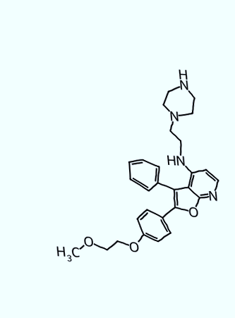 COCCOc1ccc(-c2oc3nccc(NCCN4CCNCC4)c3c2-c2ccccc2)cc1